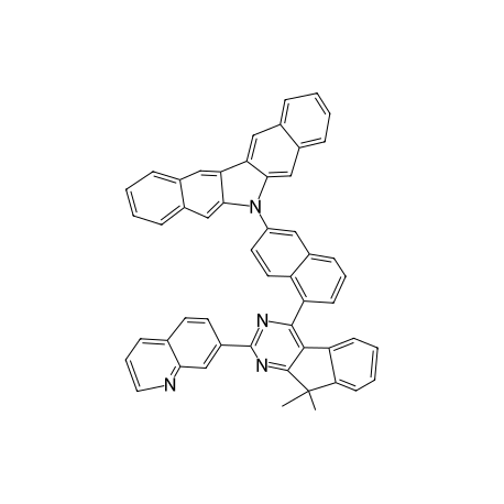 CC1(C)c2ccccc2-c2c(-c3cccc4cc(-n5c6cc7ccccc7cc6c6cc7ccccc7cc65)ccc34)nc(-c3ccc4cccnc4c3)nc21